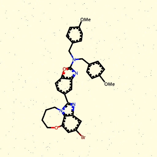 COc1ccc(CN(Cc2ccc(OC)cc2)c2nc3cc(-c4nc5cc(Br)cc6c5n4CCCCO6)ccc3o2)cc1